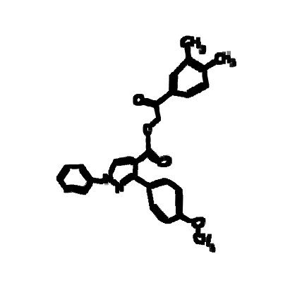 COc1ccc(-c2nn(-c3ccccc3)cc2C(=O)OCC(=O)c2ccc(C)c(C)c2)cc1